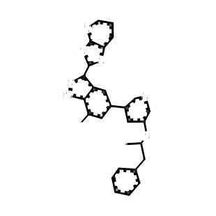 OC(Cc1ccccc1)Nc1cncc(-c2cc(F)c3[nH]nc(-c4nc5cccnc5[nH]4)c3c2)c1